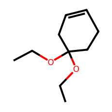 CCOC1(OCC)CC=CCC1